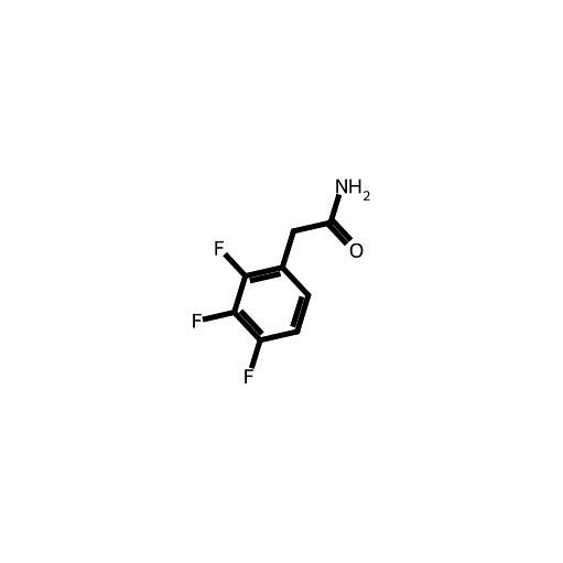 NC(=O)Cc1ccc(F)c(F)c1F